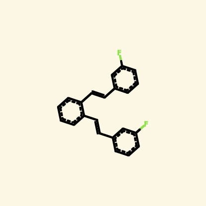 Fc1cccc(C=Cc2ccccc2C=Cc2cccc(F)c2)c1